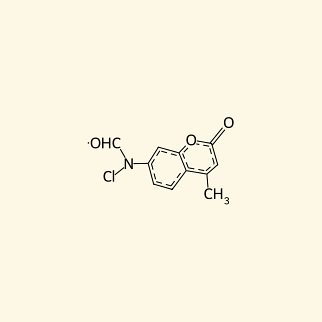 Cc1cc(=O)oc2cc(N(Cl)[C]=O)ccc12